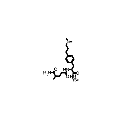 CC(C[CH]C(=O)NC(Cc1ccc(CCCN(C)C)cc1)C(=O)NC(C)(C)C)C(N)=O